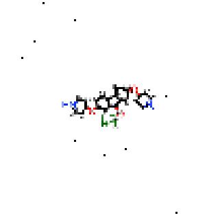 CN1CCC(Oc2ccc3c(c2)C(=O)c2cc(OC4CCNCC4)ccc2-3)CC1.Cl.Cl